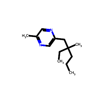 CCCC(C)(CC)Cc1cnc(C)cn1